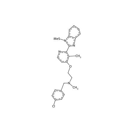 CSn1c(-c2nccc(OCCN(C)Cc3ccc(Cl)cc3)c2C)nc2ccccc21